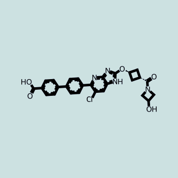 O=C(O)c1ccc(-c2ccc(-c3nc4nc(O[C@H]5C[C@@H](C(=O)N6CC(O)C6)C5)[nH]c4cc3Cl)cc2)cc1